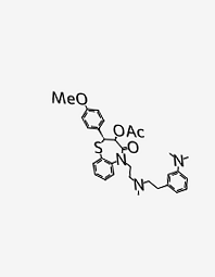 COc1ccc([C@@H]2Sc3ccccc3N(CCN(C)CCc3cccc(N(C)C)c3)C(=O)[C@@H]2OC(C)=O)cc1